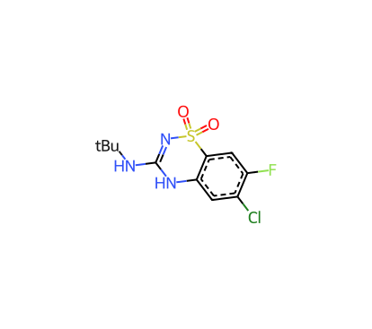 CC(C)(C)NC1=NS(=O)(=O)c2cc(F)c(Cl)cc2N1